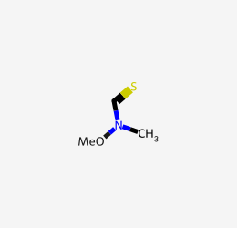 [CH2]ON(C)C=S